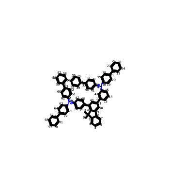 CC1(C)c2ccccc2-c2cc(-c3cccc(N(c4ccc(-c5ccccc5)cc4)c4ccc(-c5ccccc5)cc4)c3)cc(-c3ccc(N(c4ccc(-c5ccccc5)cc4)c4ccc(-c5ccccc5)cc4)cc3)c21